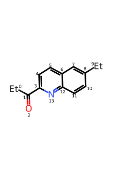 CCC(=O)c1ccc2cc(CC)ccc2n1